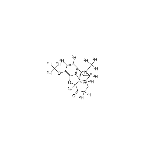 [2H]c1c([2H])c(OC([2H])([2H])[2H])c2c3c1C[C@@]1([2H])N(C([2H])([2H])[2H])CC[C@@]34C([2H])(O2)C(=O)C([2H])([2H])C[C@@]14[2H]